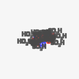 O=C(Nc1cc(C(=O)Nc2cc(S(=O)(=O)O)cc3cc(S(=O)(=O)O)cc(O)c23)cc(C(=O)Nc2cc(S(=O)(=O)O)cc3cc(S(=O)(=O)O)cc(O)c23)c1)Nc1cc(C(=O)Nc2cc(S(=O)(=O)O)cc3cc(S(=O)(=O)O)cc(O)c23)cc(C(=O)Nc2cc(S(=O)(=O)O)cc3cc(S(=O)(=O)O)cc(O)c23)c1